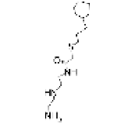 NCCNCCNC(=O)CSCCCC1CCCCC1